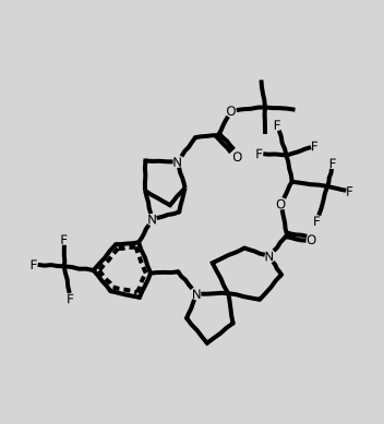 CC(C)(C)OC(=O)CN1CC2CC1CN2c1cc(C(F)(F)F)ccc1CN1CCCC12CCN(C(=O)OC(C(F)(F)F)C(F)(F)F)CC2